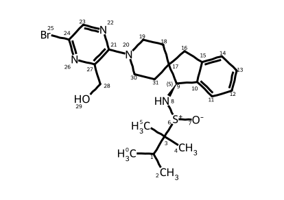 CC(C)C(C)(C)[S+]([O-])N[C@@H]1c2ccccc2CC12CCN(c1ncc(Br)nc1CO)CC2